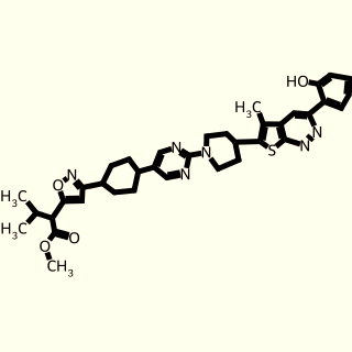 COC(=O)C(c1cc(C2CCC(c3cnc(N4CCC(c5sc6nnc(-c7ccccc7O)cc6c5C)CC4)nc3)CC2)no1)C(C)C